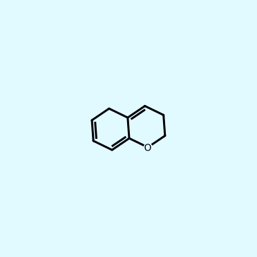 C1=CCC2=CCCOC2=C1